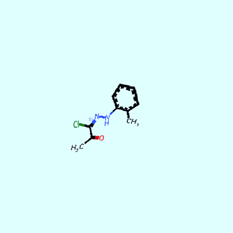 CC(=O)/C(Cl)=N\Nc1ccccc1C